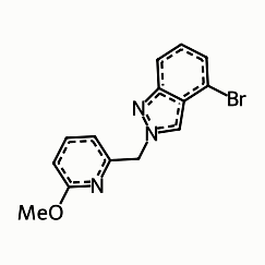 COc1cccc(Cn2cc3c(Br)cccc3n2)n1